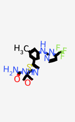 Cc1cc(Nc2nccc(C(F)(F)F)n2)cc(-c2cnc(C3(NC(N)=O)COC3)s2)c1